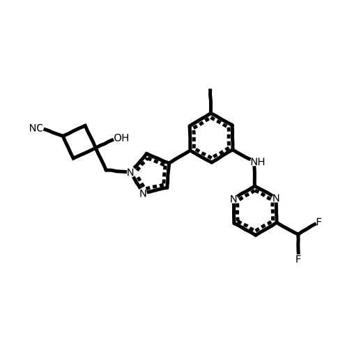 Cc1cc(Nc2nccc(C(F)F)n2)cc(-c2cnn(CC3(O)CC(C#N)C3)c2)c1